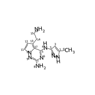 Cc1cc(Nc2nc(N)nn3ccc(CCN)c23)n[nH]1